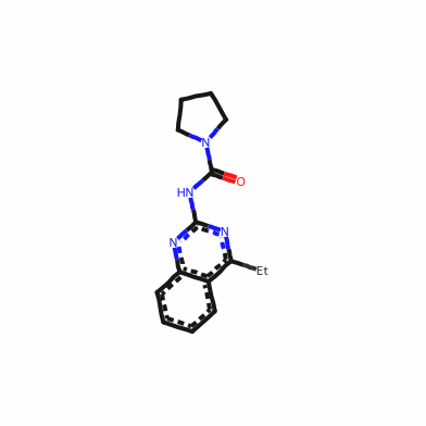 CCc1nc(NC(=O)N2CCCC2)nc2ccccc12